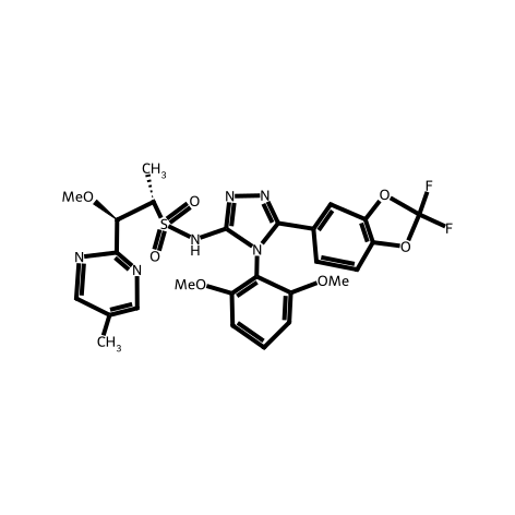 COc1cccc(OC)c1-n1c(NS(=O)(=O)[C@@H](C)[C@H](OC)c2ncc(C)cn2)nnc1-c1ccc2c(c1)OC(F)(F)O2